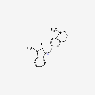 CN1CCCc2cc(/C=C3\C(=O)N(C)c4ccccc43)ccc21